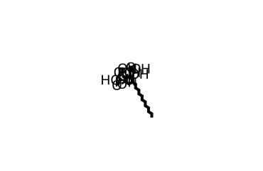 CCCCCCCCCCCCN1C[C@@H](OP(=O)(O)O)C(OP(=O)(O)O)[C@H](OP(=O)(O)O)C1